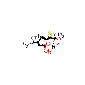 CC(C)C(C=C[C@@H](S)C(C)(C)O)CC(=O)O